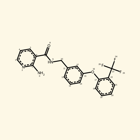 Nc1ncccc1C(=O)NCc1cccc(Oc2ccccc2C(F)(F)F)c1